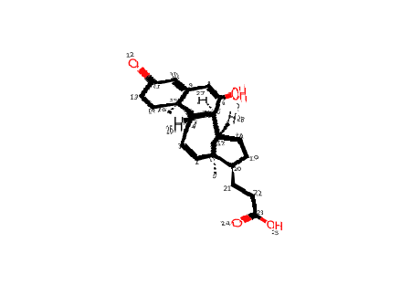 C[C@]12C=C[C@H]3[C@@H](C(O)=CC4=CC(=O)CC[C@@]43C)[C@@H]1CC[C@H]2CCC(=O)O